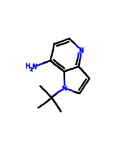 CC(C)(C)n1ccc2nccc(N)c21